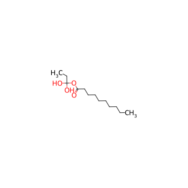 CCCCCCCCCC(=O)OC(O)(O)CC